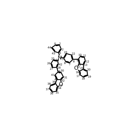 c1ccc(N(c2ccc(-c3cccc4c3oc3ccccc34)cc2)c2cccc(-c3ccc4oc5ccccc5c4c3)c2)cc1